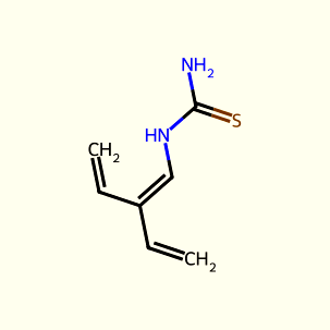 C=CC(C=C)=CNC(N)=S